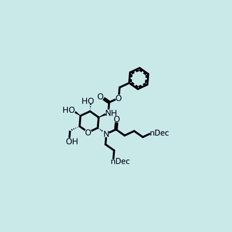 CCCCCCCCCCCCCC(=O)N(CCCCCCCCCCCC)[C@@H]1O[C@H](CO)[C@@H](O)[C@H](O)[C@H]1NC(=O)OCc1ccccc1